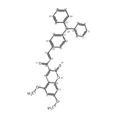 COc1cc(OC)c2cc(C(=O)C=Cc3ccc(N(c4ccccc4)c4ccccc4)cc3)c(=O)oc2c1